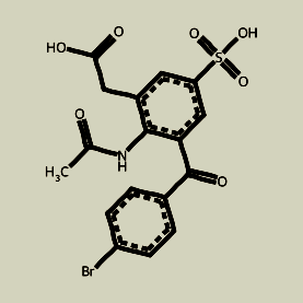 CC(=O)Nc1c(CC(=O)O)cc(S(=O)(=O)O)cc1C(=O)c1ccc(Br)cc1